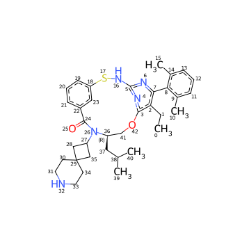 CCc1c2nc(nc1-c1c(C)cccc1C)NSc1cccc(c1)C(=O)N(C1CC3(CCNCC3)C1)[C@H](CC(C)C)CO2